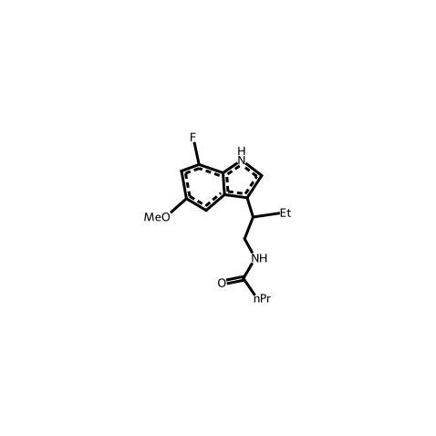 CCCC(=O)NCC(CC)c1c[nH]c2c(F)cc(OC)cc12